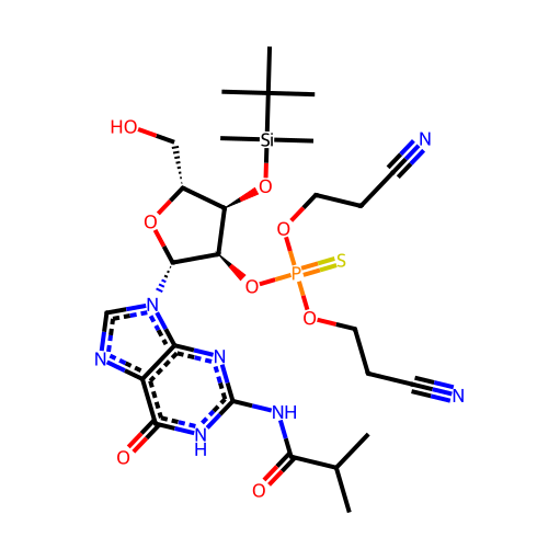 CC(C)C(=O)Nc1nc2c(ncn2[C@@H]2O[C@H](CO)[C@@H](O[Si](C)(C)C(C)(C)C)[C@H]2OP(=S)(OCCC#N)OCCC#N)c(=O)[nH]1